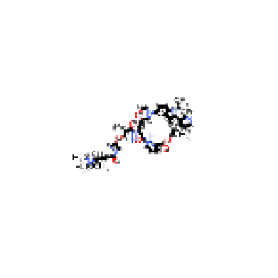 CC(C)c1ncccc1-c1c2c3cc(ccc3n1CC(F)(F)F)N1CCO[C@@H](C[C@H](NC(=O)[C@@H](COC3CN(C(=O)C#CC(C)(C)N(C)C)C3)C(C)C)C(=O)N3CCC[C@H](N3)C(=O)OCC(C)(C)C2)C1